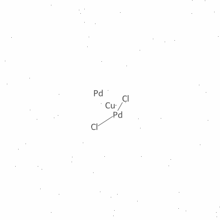 [Cl][Pd][Cl].[Cu].[Pd]